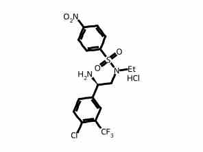 CCN(C[C@H](N)c1ccc(Cl)c(C(F)(F)F)c1)S(=O)(=O)c1ccc([N+](=O)[O-])cc1.Cl